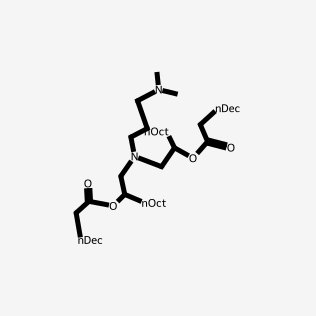 CCCCCCCCCCCC(=O)OC(CCCCCCCC)CN(CCCN(C)C)CC(CCCCCCCC)OC(=O)CCCCCCCCCCC